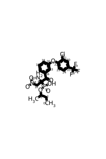 CCC(C)OP(=O)(O)C(N)(C[N+](=O)[O-])C(=O)c1cccc(Oc2ccc(C(F)(F)F)cc2Cl)c1